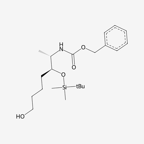 C[C@H](NC(=O)OCc1ccccc1)[C@H](CCCCO)O[Si](C)(C)C(C)(C)C